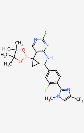 Cn1cc(C(F)(F)F)nc1-c1ccc(CNc2nc(Cl)ncc2C2(B3OC(C)(C)C(C)(C)O3)CC2)cc1F